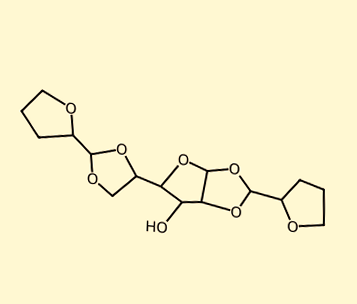 OC1C(C2COC(C3CCCO3)O2)OC2OC(C3CCCO3)OC21